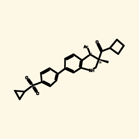 CC(=O)N1c2ccc(-c3ccc(S(=O)(=O)C4CC4)cc3)cc2NC[C@@]1(C)C(=O)C1CCC1